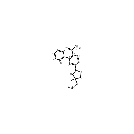 CNCC1(F)CCN(c2cnc(C(N)=O)c(-c3cnccn3)n2)C1